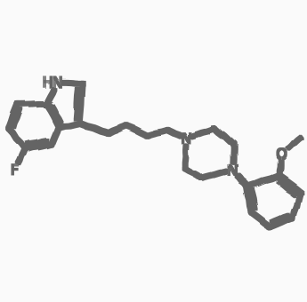 COc1ccccc1N1CCN(CCCCc2c[nH]c3ccc(F)cc23)CC1